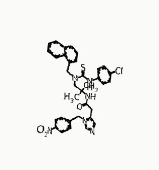 CC(C)(CN(Cc1cccc2ccccc12)C(=S)Nc1ccc(Cl)cc1)NC(=O)Cc1cncn1Cc1ccc([N+](=O)[O-])cc1